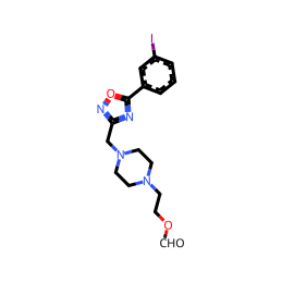 O=COCCN1CCN(Cc2noc(-c3cccc(I)c3)n2)CC1